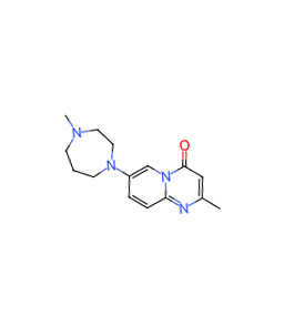 Cc1cc(=O)n2cc(N3CCCN(C)CC3)ccc2n1